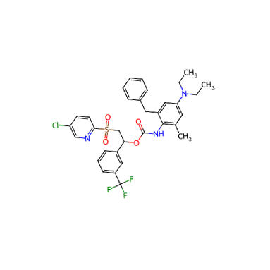 CCN(CC)c1cc(C)c(NC(=O)OC(CS(=O)(=O)c2ccc(Cl)cn2)c2cccc(C(F)(F)F)c2)c(Cc2ccccc2)c1